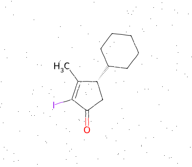 CC1=C(I)C(=O)C[C@H]1C1CCCCC1